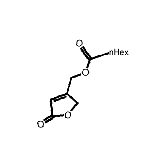 CCCCCCC(=O)OCC1=CC(=O)OC1